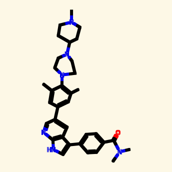 Cc1cc(-c2cnc3[nH]cc(-c4ccc(C(=O)N(C)C)cc4)c3c2)cc(C)c1N1CCN(C2CCN(C)CC2)CC1